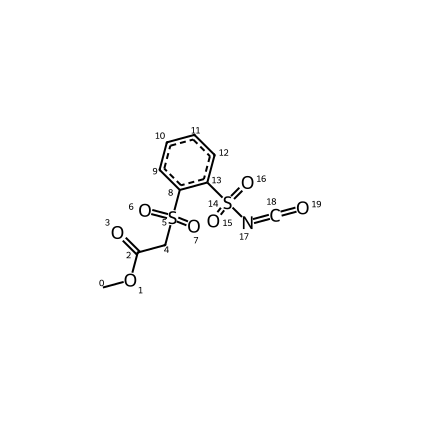 COC(=O)CS(=O)(=O)c1ccccc1S(=O)(=O)N=C=O